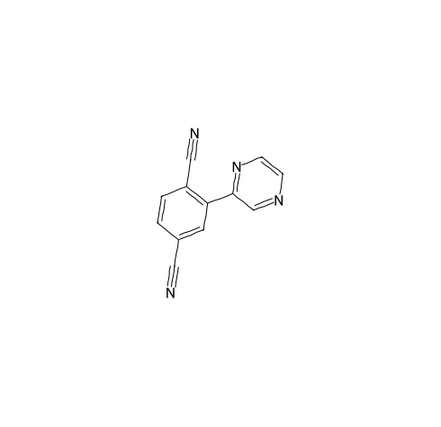 N#Cc1ccc(C#N)c(-c2cnccn2)c1